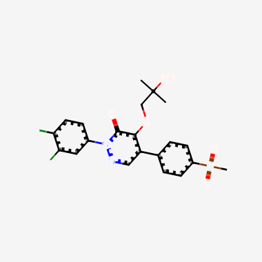 CC(C)(O)COc1c(-c2ccc(S(C)(=O)=O)cc2)cnn(-c2ccc(F)c(F)c2)c1=O